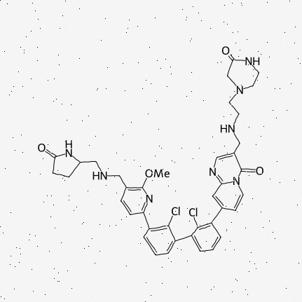 COc1nc(-c2cccc(-c3cccc(-c4ccn5c(=O)c(CNCCN6CCNC(=O)C6)cnc5c4)c3Cl)c2Cl)ccc1CNCC1CCC(=O)N1